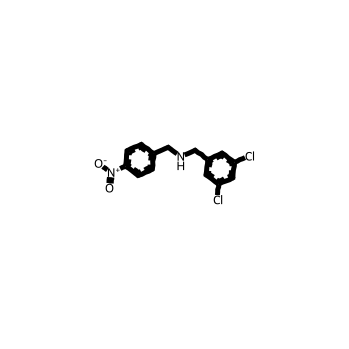 O=[N+]([O-])c1ccc(CNCc2cc(Cl)cc(Cl)c2)cc1